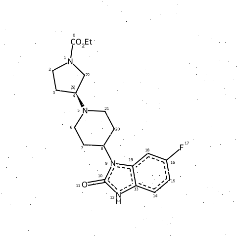 CCOC(=O)N1CC[C@H](N2CCC(n3c(=O)[nH]c4ccc(F)cc43)CC2)C1